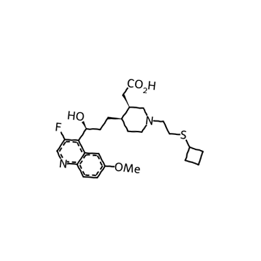 COc1ccc2ncc(F)c([C@@H](O)CC[C@@H]3CCN(CCSC4CCC4)C[C@@H]3CC(=O)O)c2c1